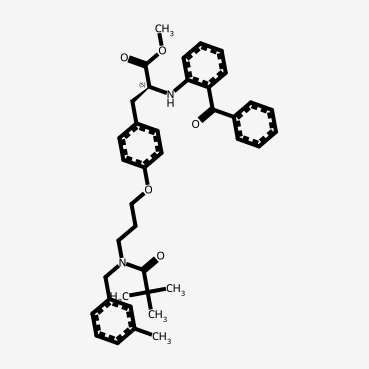 COC(=O)[C@H](Cc1ccc(OCCCN(Cc2cccc(C)c2)C(=O)C(C)(C)C)cc1)Nc1ccccc1C(=O)c1ccccc1